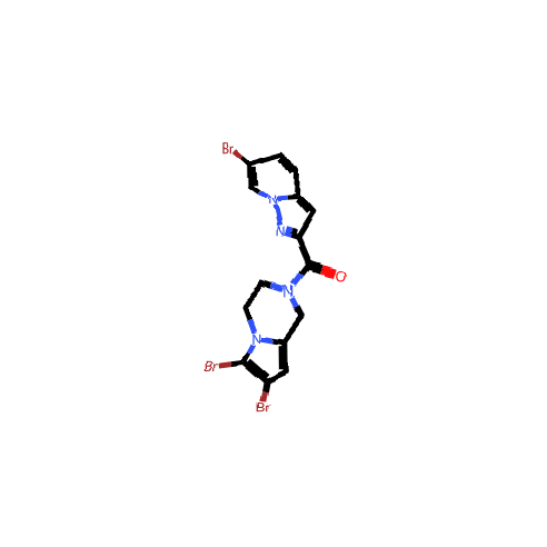 O=C(c1cc2ccc(Br)cn2n1)N1CCn2c(cc(Br)c2Br)C1